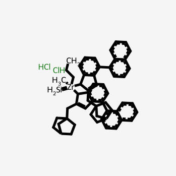 CC[CH2][Zr]([CH3])(=[SiH2])([CH]1C(CC23CCC(CC2)C3)=Cc2c(-c3cccc4ccccc34)cccc21)[CH]1C(CC23CCC(CC2)C3)=Cc2c(-c3cccc4ccccc34)cccc21.Cl.Cl